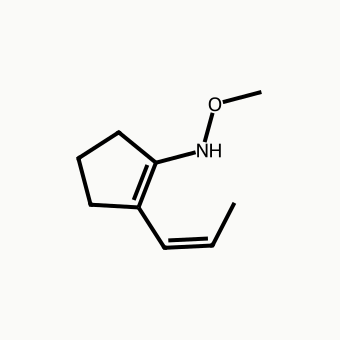 C/C=C\C1=C(NOC)CCC1